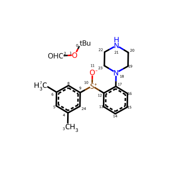 CC(C)(C)OC=O.Cc1cc(C)cc([S+]([O-])c2ccccc2N2CCNCC2)c1